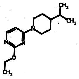 CCOc1nccc(N2CCC(C(C)C)CC2)n1